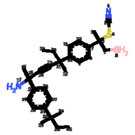 BCC(C)(SC#N)c1ccc(C(C)(C#CC(C)(N)c2ccc(C(C)(C)CC)cc2)CC)cc1